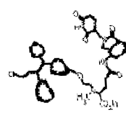 CN(CCOc1ccc(/C(=C(/CCCl)c2ccccc2)c2ccccc2)cc1)[C@@H](CCC(=O)Nc1cccc2c1CN(C1CCC(=O)NC1=O)C2=O)C(=O)O